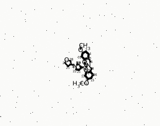 COc1ccc(CN(Cc2ccc(OC)cc2)S(=O)(=O)c2ccn(C3CCOC3)n2)cc1